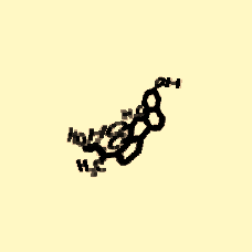 CC(CCO)C1CCC2C3CCC4CC(O)CCC4(C)C3CC(O)C12C